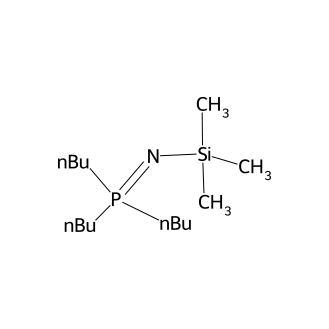 CCCCP(CCCC)(CCCC)=N[Si](C)(C)C